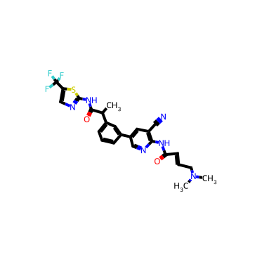 CC(C(=O)Nc1ncc(C(F)(F)F)s1)c1cccc(-c2cnc(NC(=O)/C=C/CN(C)C)c(C#N)c2)c1